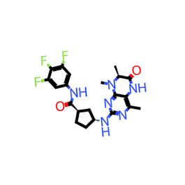 Cc1nc(N[C@@H]2CC[C@@H](C(=O)Nc3cc(F)c(F)c(F)c3)C2)nc2c1NC(=O)[C@H](C)N2C